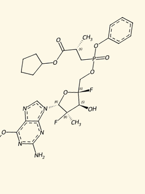 CCOc1nc(N)nc2c1ncn2[C@@H]1O[C@](F)(COP(=O)(C[C@@H](C)C(=O)OC2CCCC2)Oc2ccccc2)[C@@H](O)[C@@]1(C)F